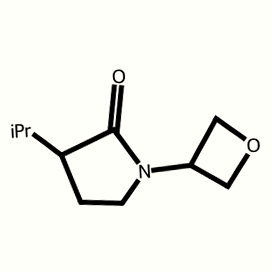 CC(C)C1CCN(C2COC2)C1=O